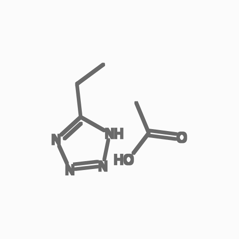 CC(=O)O.CCc1nnn[nH]1